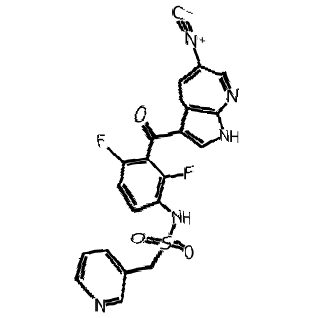 [C-]#[N+]c1cnc2[nH]cc(C(=O)c3c(F)ccc(NS(=O)(=O)Cc4cccnc4)c3F)c2c1